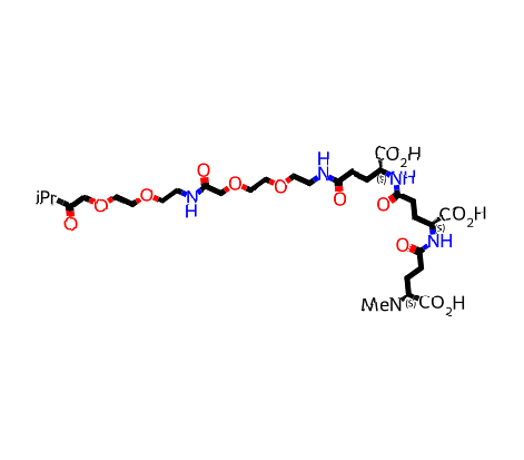 CN[C@@H](CCC(=O)N[C@@H](CCC(=O)N[C@@H](CCC(=O)NCCOCCOCC(=O)NCCOCCOCC(=O)C(C)C)C(=O)O)C(=O)O)C(=O)O